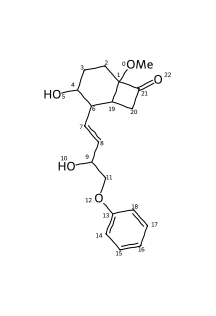 COC12CCC(O)C(C=CC(O)COc3ccccc3)C1CC2=O